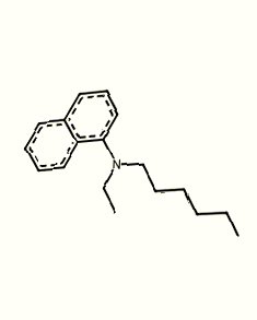 CCCCCCN(CC)c1cccc2ccccc12